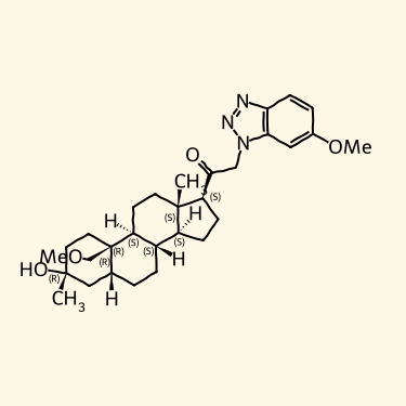 COC[C@]12CC[C@@](C)(O)C[C@H]1CC[C@H]1[C@@H]3CC[C@H](C(=O)Cn4nnc5ccc(OC)cc54)[C@@]3(C)CC[C@@H]12